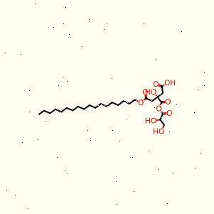 CCCCCCCCCCCCCCCCCCOC(=O)CC(O)(CC(=O)O)C(=O)OC(=O)C(O)CO